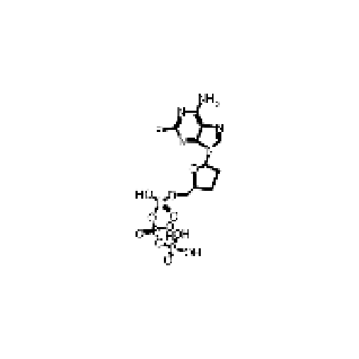 Nc1nc(F)nc2c1ncn2C1CC[C@@H](COP(=O)(O)OP(=O)(O)OP(=O)(O)O)O1